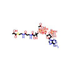 CC(=O)O.CC(O)C(=O)SCCNC(=O)CCNC(=O)[C@H](O)C(C)(C)COP(=O)(O)OP(=O)(O)OC[C@H]1O[C@@H](n2cnc3c(N)ncnc32)[C@H](O)[C@@H]1OP(=O)(O)O